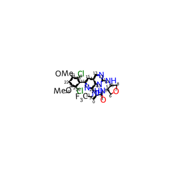 C=CC(=O)N[C@H]1COC[C@H]1Nc1ncc2cc(-c3c(Cl)c(OC)cc(OC)c3Cl)nc(NCC(F)(F)F)c2n1